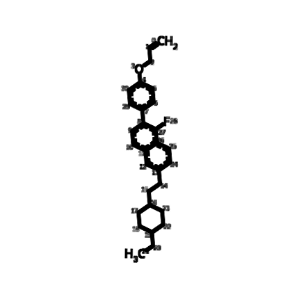 C=CCOc1ccc(-c2ccc3cc(CCC4CCC(CC)CC4)ccc3c2F)cc1